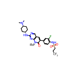 CC[C@@H](C)n1c(=O)c(-c2ccc(NS(=O)(=O)CCC(F)(F)F)c(F)c2)cc2cnc(N[C@H]3CC[C@H](N(C)C)CC3)nc21